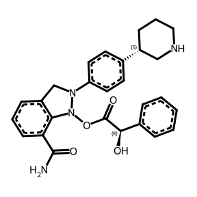 NC(=O)c1cccc2c1N(OC(=O)[C@H](O)c1ccccc1)N(c1ccc([C@@H]3CCCNC3)cc1)C2